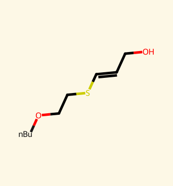 CCCCOCCSC=CCO